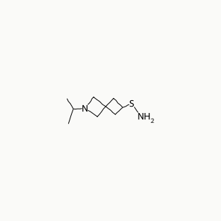 CC(C)N1CC2(CC(SN)C2)C1